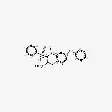 CCOC(=O)C1Cc2ccc(Oc3ccccc3)cc2C(C)N1S(=O)(=O)c1ccccc1